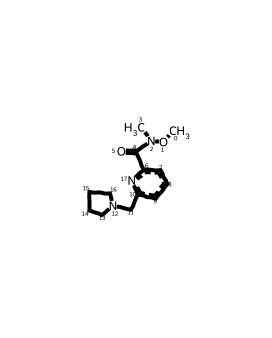 CON(C)C(=O)c1cccc(CN2CCCC2)n1